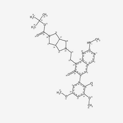 CNc1ncc2cc(-c3cc(OC)cc(OC)c3Cl)c(=O)n(CCN3CC4CN(C(=O)OC(C)(C)C)CC4C3)c2n1